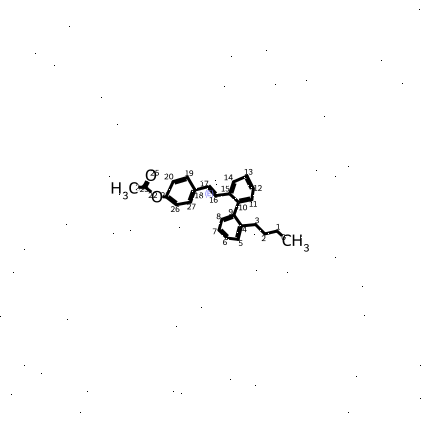 CCCCc1ccccc1-c1ccccc1/C=C/c1ccc(OC(C)=O)cc1